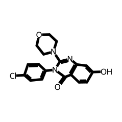 O=c1c2ccc(O)cc2nc(N2CCOCC2)n1-c1ccc(Cl)cc1